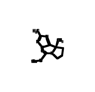 Cc1noc([C@]2(C)CCCN2C(=O)OC(C)(C)C)n1